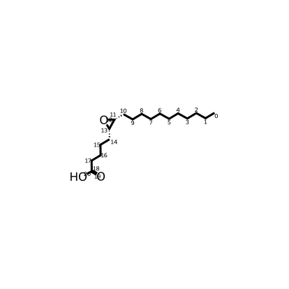 CCCCCCCCCCC[C@H]1O[C@H]1CCCCC(=O)O